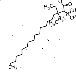 CCCCCCCCCCCCCCCCC(CC)(CC)C(C(=O)[O-])[N+](C)(C)C